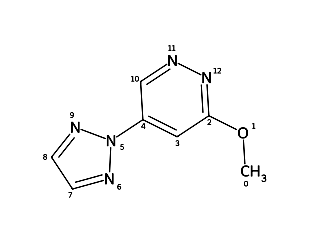 COc1cc(-n2nccn2)cnn1